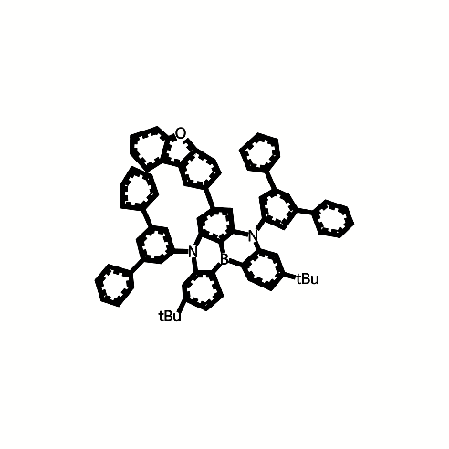 CC(C)(C)c1ccc2c(c1)N(c1cc(-c3ccccc3)cc(-c3ccccc3)c1)c1cc(-c3ccc4oc5ccccc5c4c3)cc3c1B2c1ccc(C(C)(C)C)cc1N3c1cc(-c2ccccc2)cc(-c2ccccc2)c1